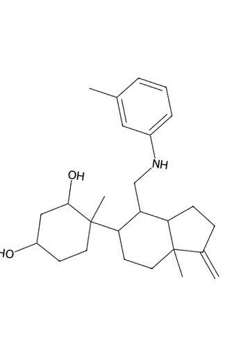 C=C1CCC2C(CNc3cccc(C)c3)C(C3(C)CCC(O)CC3O)CCC12C